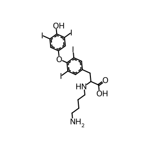 NCCCCNC(Cc1cc(I)c(Oc2cc(I)c(O)c(I)c2)c(I)c1)C(=O)O